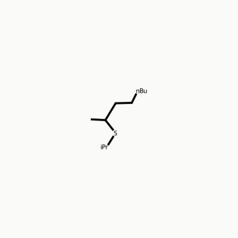 CCCCCCC(C)SC(C)C